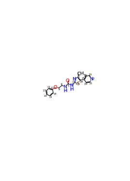 Cc1nc(NC(=O)NCCOc2ccccc2)sc1-c1ccncc1